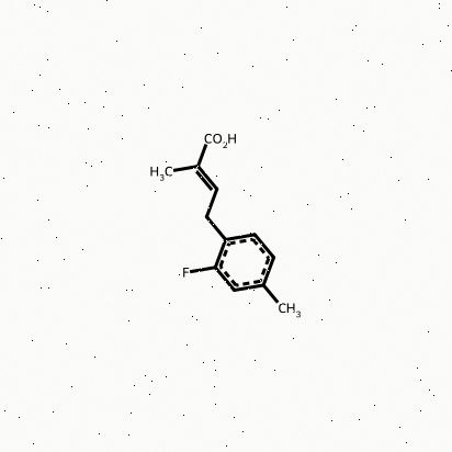 CC(=CCc1ccc(C)cc1F)C(=O)O